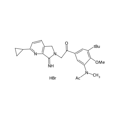 Br.COc1c(N(C)C(C)=O)cc(C(=O)CN2Cc3ccc(C4CC4)nc3C2=N)cc1C(C)(C)C